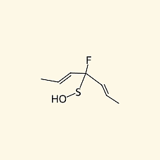 CC=CC(F)(C=CC)SO